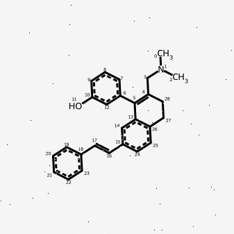 CN(C)CC1=C(c2cccc(O)c2)c2cc(C=Cc3ccccc3)ccc2CC1